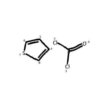 O=C(Cl)Cl.c1ccsc1